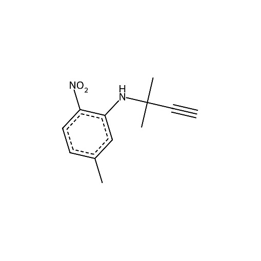 C#CC(C)(C)Nc1cc(C)ccc1[N+](=O)[O-]